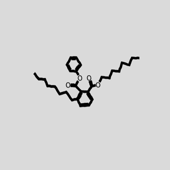 CCCCCCCCOC(=O)c1cccc(CCCCCCCC)c1C(=O)Oc1ccccc1